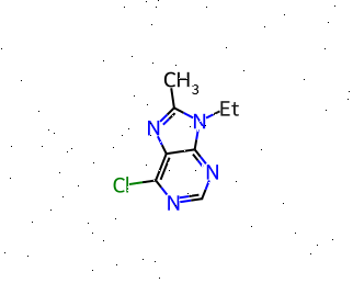 CCn1c(C)nc2c(Cl)ncnc21